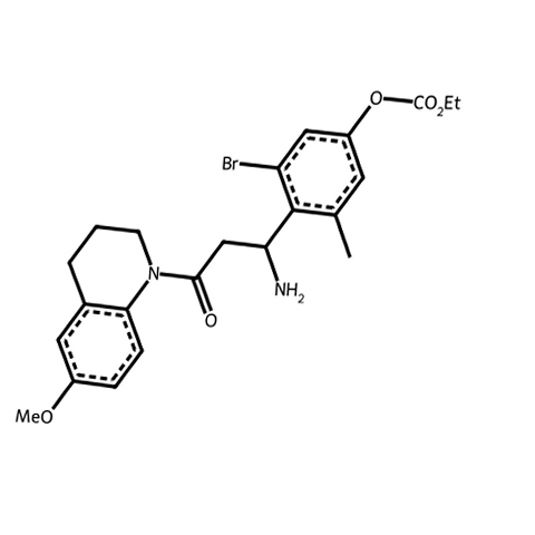 CCOC(=O)Oc1cc(C)c(C(N)CC(=O)N2CCCc3cc(OC)ccc32)c(Br)c1